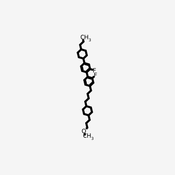 CCCC1CCC(c2ccc(-c3ccc(CCCCC4CCC(CCCOC)CC4)cc3F)c(F)c2)CC1